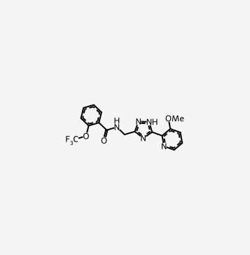 COc1cccnc1-c1nc(CNC(=O)c2ccccc2OC(F)(F)F)n[nH]1